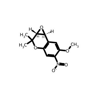 COc1cc2c(cc1[N+](=O)[O-])OC(C)(C)[C@@H]1O[C@@H]21